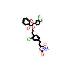 O=C1NC(=O)C(=CCc2ccc(CCCOc3c(-c4ccc(F)c(F)c4)oc4ccccc4c3=O)c(Cl)c2)S1